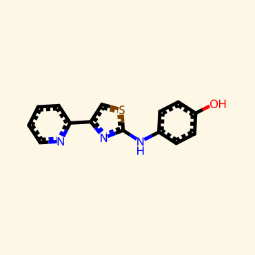 Oc1ccc(Nc2nc(-c3ccccn3)cs2)cc1